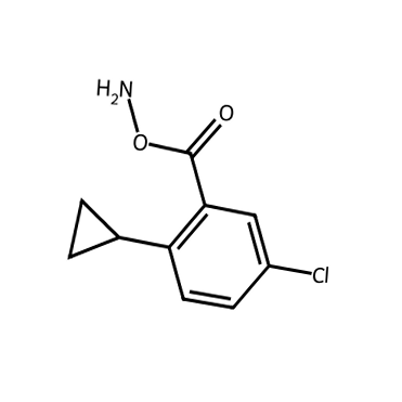 NOC(=O)c1cc(Cl)ccc1C1CC1